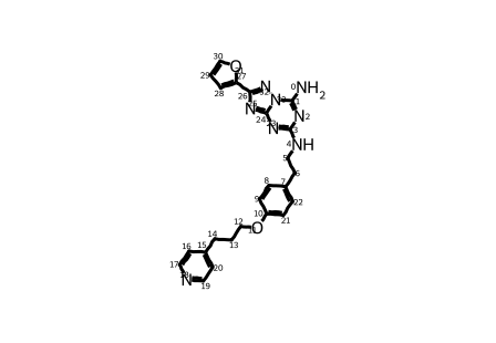 Nc1nc(NCCc2ccc(OCCCc3ccncc3)cc2)nc2nc(-c3ccco3)nn12